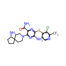 NC(=O)c1nc(Sc2ccnc(C(F)(F)F)c2Cl)c(N)nc1N1CCC2(CCC[C@H]2N)CC1